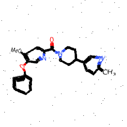 COc1cc(C(=O)N2CCC(c3ccc(C)nc3)CC2)ncc1Oc1ccccc1